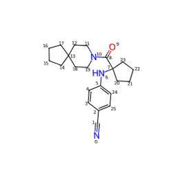 N#Cc1ccc(NC2(C(=O)N3CCC4(CCCC4)CC3)CCCC2)cc1